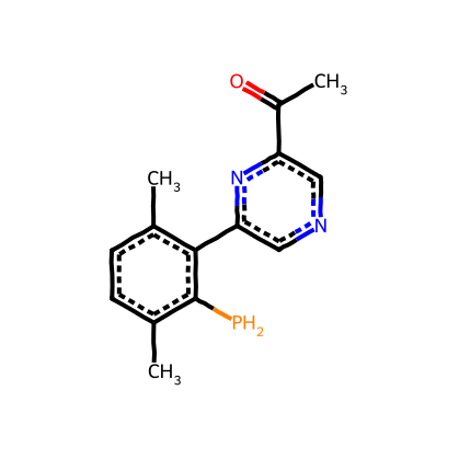 CC(=O)c1cncc(-c2c(C)ccc(C)c2P)n1